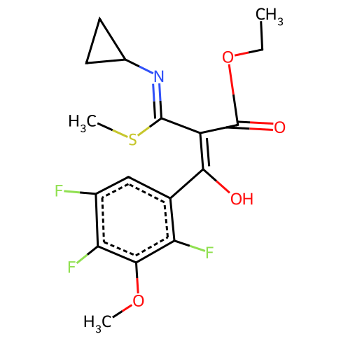 CCOC(=O)C(/C(=N/C1CC1)SC)=C(\O)c1cc(F)c(F)c(OC)c1F